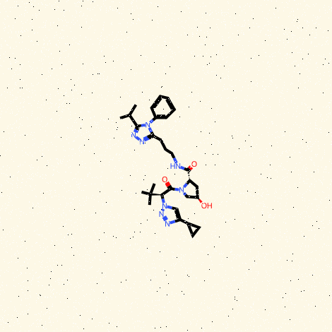 CC(C)c1nnc(CCCNC(=O)[C@@H]2C[C@@H](O)CN2C(=O)[C@@H](n2cc(C3CC3)nn2)C(C)(C)C)n1-c1ccccc1